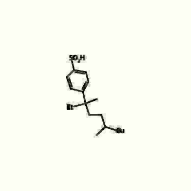 CCC(C)C(C)CCC(C)(CC)c1ccc(S(=O)(=O)O)cc1